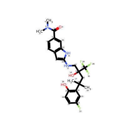 CN(C)C(=O)c1ccc2cc(NCC(O)(CC(C)(C)c3cc(F)ccc3O)C(F)(F)F)[nH]c2c1